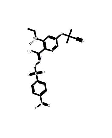 CC[S@@+]([O-])c1cc(OC(C)(C)C#N)cnc1/C(N)=N/OS(=O)(=O)c1ccc([N+](=O)[O-])cc1